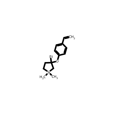 C=Cc1ccc(OC2(CC)CC[Si](C)(C)C2)cc1